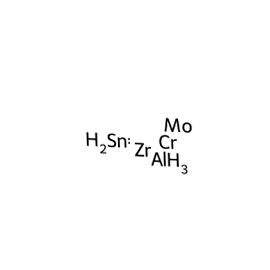 [AlH3].[Cr].[Mo].[SnH2].[Zr]